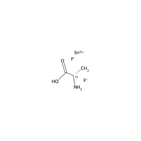 C[C@H](N)C(=O)O.[F-].[F-].[Sn+2]